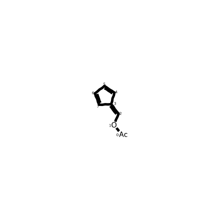 CC(=O)OC=C1C=CC=C1